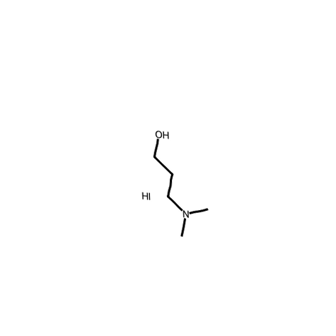 CN(C)CCCO.I